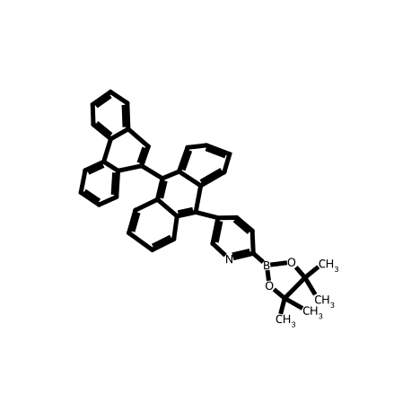 CC1(C)OB(c2ccc(-c3c4ccccc4c(-c4cc5ccccc5c5ccccc45)c4ccccc34)cn2)OC1(C)C